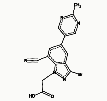 Cc1ncc(-c2cc(C#N)c3c(c2)c(Br)nn3CC(=O)O)cn1